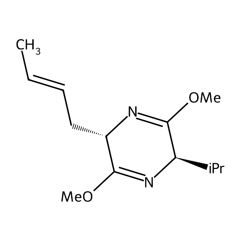 CC=CC[C@@H]1N=C(OC)[C@@H](C(C)C)N=C1OC